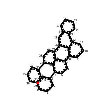 c1ccc(-c2ccc3c4cccc5c6ccccc6cc(c6ccc(-c7ccccc7)c2c36)c54)cc1